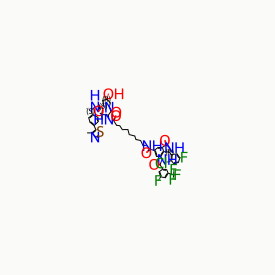 Cc1ncsc1-c1ccc([C@H](C)NC(=O)[C@@H]2C[C@@H](O)CN2C(=O)C(NC(=O)CCCCCCCCCNC(=O)c2cc(NC(=O)c3cc(F)cc(C(F)(F)F)c3)c3c(c2)C(=O)N[C@H]3c2cc(F)ccc2Cl)C(C)(C)C)cc1